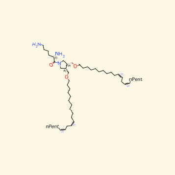 CCCCC/C=C\C/C=C\CCCCCCCCCCOC[C@H]1CN(C(=O)[C@@H](N)CCCCN)C[C@@H]1COCCCCCCCCCC/C=C\C/C=C\CCCCC